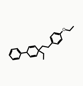 CCOc1ccc(CCC2(CC)C=CC(c3ccccc3)C=C2)cc1